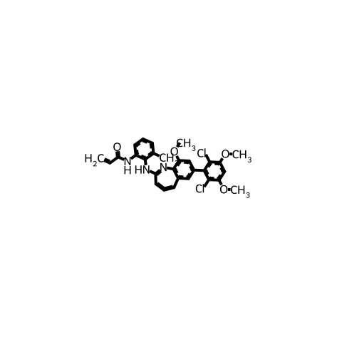 C=CC(=O)Nc1cccc(C)c1NC1=Nc2c(cc(-c3c(Cl)c(OC)cc(OC)c3Cl)cc2OC)C=C=C1